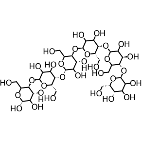 OCC1O[C@@H](O[C@H]2C(O)C(O)[C@H](O[C@@H]3C(CO)O[C@@H](O[C@H]4C(O)C(O)[C@H](O[C@@H]5C(CO)O[C@@H](O)C(O)[C@H]5O)O[C@H]4CO)C(O)[C@H]3O)O[C@H]2CO)C(O)[C@@H](O)[C@@H]1O[C@@H]1O[C@@H](CO)[C@@H](O)C(O)C1O